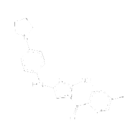 Cc1ccc(C(=O)n2cc(Nc3ccc(N4CCCC4)cc3)nc2N)cc1